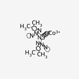 Cc1cc2nc(-c3cccc(-c4nc5cc(C)c(C)cc5n4CN4CCCCC4)n3)n(CN3CCCCC3)c2cc1C.[Cl-].[Cl-].[Cl-].[Co+3]